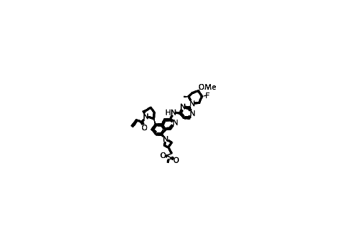 C=CC(=O)N1CCC[C@H]1c1ccc(N2CC(CS(C)(=O)=O)C2)c2cnc(Nc3ccnc(N4C[C@@H](F)[C@@H](OC)C[C@@H]4C)n3)cc12